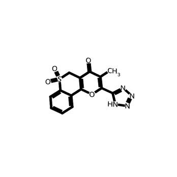 Cc1c(-c2nnn[nH]2)oc2c(c1=O)CS(=O)(=O)c1ccccc1-2